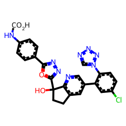 O=C(O)Nc1ccc(-c2nnc(C3(O)CCc4cc(-c5cc(Cl)ccc5-n5cnnn5)cnc43)o2)cc1